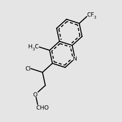 Cc1c(C(Cl)COC=O)cnc2cc(C(F)(F)F)ccc12